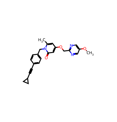 COc1cnc(COc2cc(C)n(Cc3ccc(C#CC4CC4)cc3)c(=O)c2)nc1